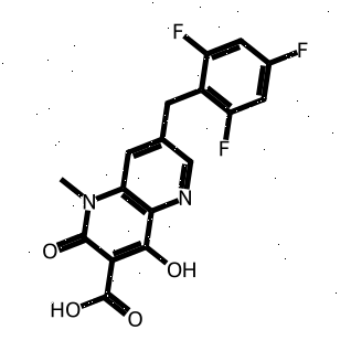 Cn1c(=O)c(C(=O)O)c(O)c2ncc(Cc3c(F)cc(F)cc3F)cc21